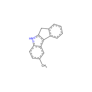 Cc1ccc2[nH]c3c(c2c1)-c1ccccc1C3